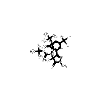 CN1N=C(c2cccc(C(F)(F)F)c2)C(C)(N(OC(=O)OC(C)(C)C)C(=O)OC(C)(C)C)C1=O